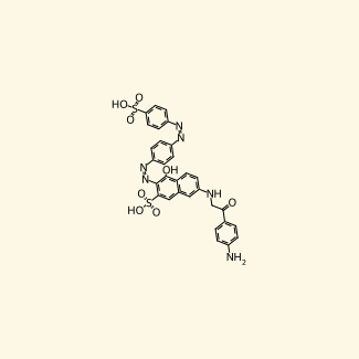 Nc1ccc(C(=O)CNc2ccc3c(O)c(/N=N\c4ccc(/N=N\c5ccc(S(=O)(=O)O)cc5)cc4)c(S(=O)(=O)O)cc3c2)cc1